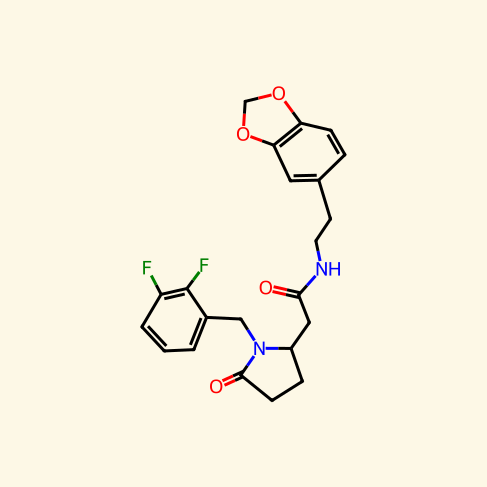 O=C(CC1CCC(=O)N1Cc1cccc(F)c1F)NCCc1ccc2c(c1)OCO2